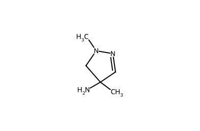 CN1CC(C)(N)C=N1